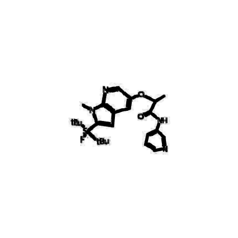 CC(Oc1cnc2c(c1)cc([Si](F)(C(C)(C)C)C(C)(C)C)n2C)C(=O)Nc1cccnc1